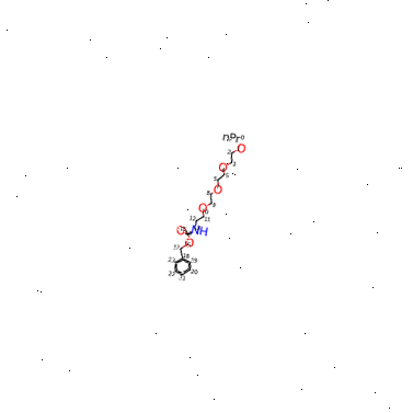 CCCOCCOCCOCCOCCNC(=O)OCc1ccccc1